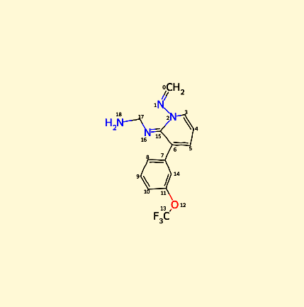 C=Nn1cccc(-c2cccc(OC(F)(F)F)c2)/c1=N/CN